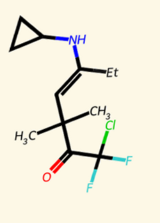 CCC(=CC(C)(C)C(=O)C(F)(F)Cl)NC1CC1